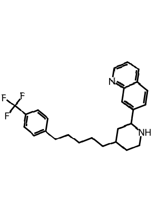 FC(F)(F)c1ccc(CCCCCC2CCNC(c3ccc4cccnc4c3)C2)cc1